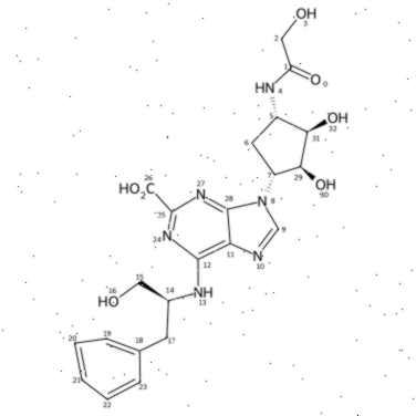 O=C(CO)N[C@H]1C[C@@H](n2cnc3c(N[C@H](CO)Cc4ccccc4)nc(C(=O)O)nc32)[C@H](O)[C@@H]1O